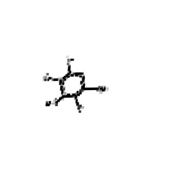 CCc1c(C(C)C)cc(OC)c(C(C)C)c1OC